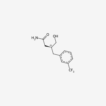 NC(=O)C[C@@H](CO)Cc1cccc(C(F)(F)F)c1